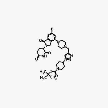 CC(C)(C)OC(=O)N1CCC(n2cc(CN3CCN(c4cc(F)cc5c4CN(C4CCC(=O)NC4=O)C5=O)CC3)nn2)CC1